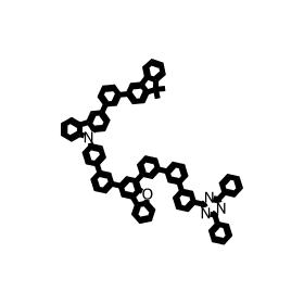 CC1(C)c2ccccc2-c2cc(-c3cccc(-c4ccc5c(c4)c4ccccc4n5-c4ccc(-c5cccc(-c6cc(-c7cccc(-c8cccc(-c9cccc(-c%10nc(-c%11ccccc%11)nc(-c%11ccccc%11)n%10)c9)c8)c7)c7oc8ccccc8c7c6)c5)cc4)c3)ccc21